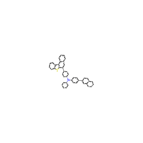 c1ccc(N(c2ccc(-c3ccc4ccccc4c3)cc2)c2ccc(-c3cc4ccccc4c4c3sc3ccccc34)cc2)cc1